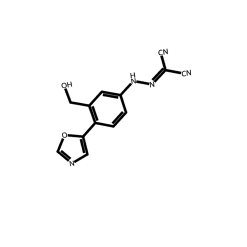 N#CC(C#N)=NNc1ccc(-c2cnco2)c(CO)c1